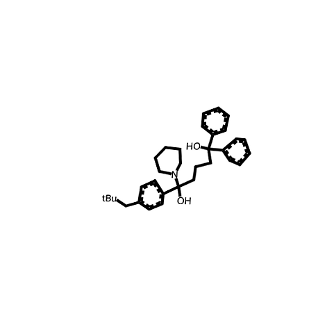 CC(C)(C)Cc1ccc(C(O)(CCCC(O)(c2ccccc2)c2ccccc2)N2CCCCC2)cc1